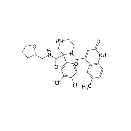 Cc1ccc2[nH]c(=O)cc(C(=O)N3CCNCC3(C(=O)NCC3CCCO3)c3ccc(Cl)c(Cl)c3)c2c1